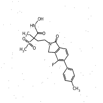 Cc1ccc(-c2ccc3c(c2F)CN(CCC(C)(C(=O)NO)S(C)(=O)=O)C3=O)cc1